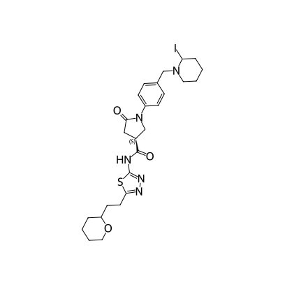 O=C(Nc1nnc(CCC2CCCCO2)s1)[C@H]1CC(=O)N(c2ccc(CN3CCCCC3I)cc2)C1